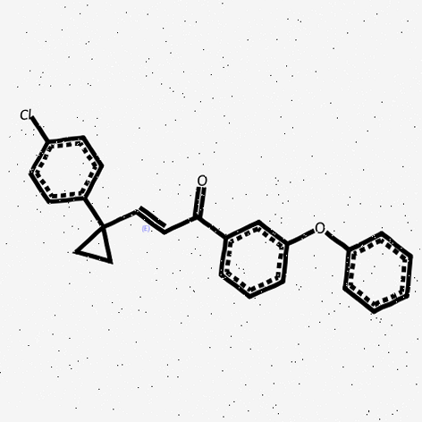 O=C(/C=C/C1(c2ccc(Cl)cc2)CC1)c1cccc(Oc2ccccc2)c1